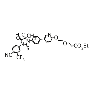 CCOC(=O)CCOCCOc1ccc(-c2ccc(N3C(=S)N(c4ccc(C#N)c(C(F)(F)F)c4)C(=O)C3(C)C)cc2)cn1